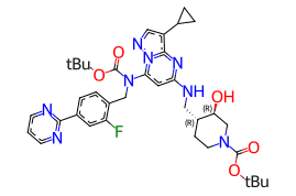 CC(C)(C)OC(=O)N1CC[C@H](CNc2cc(N(Cc3ccc(-c4ncccn4)cc3F)C(=O)OC(C)(C)C)n3ncc(C4CC4)c3n2)[C@@H](O)C1